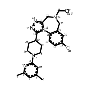 Cc1cc(C)nc(N2CCC(c3nnc4n3-c3ccc(Cl)cc3CN(CC(F)(F)F)C4)CC2)c1